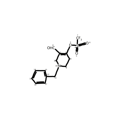 O=CC1=C(OS(=O)(=O)C(F)(F)F)CCN(Cc2ccccc2)C1